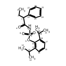 CCC(C(=O)NS(=O)(=O)Oc1c(C(C)C)cccc1C(C)C)c1ccccc1